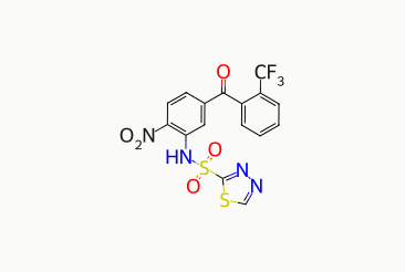 O=C(c1ccc([N+](=O)[O-])c(NS(=O)(=O)c2nncs2)c1)c1ccccc1C(F)(F)F